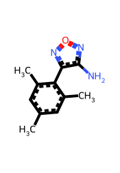 Cc1cc(C)c(-c2nonc2N)c(C)c1